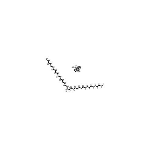 CCCCCCCCCCCCCCCCCC[S+](C)CCCCCCCCCCCCCCCCCC.COS(=O)(=O)[O-]